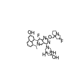 CCc1cccc2cc(O)cc(-c3ncc4c(N5C[C@@H]6C[C@H](C5)[C@H](O)C6)nc(OC[C@@]56CCCN5C[C@H](F)C6)nc4c3F)c12